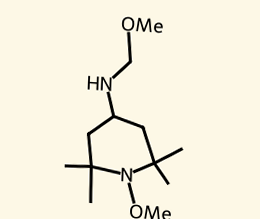 COCNC1CC(C)(C)N(OC)C(C)(C)C1